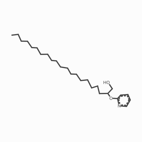 CCCCCCCCCCCCCCCCCCCC(CO)Oc1ccccn1